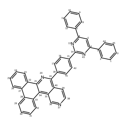 c1ccc(-c2cc(-c3ccccc3)nc(-c3ccc(-c4nc5c6ccccc6c6ccccc6c5c5cnccc45)cc3)n2)cc1